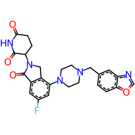 O=C1CCC(N2Cc3c(cc(F)cc3N3CCN(Cc4ccc5ocnc5c4)CC3)C2=O)C(=O)N1